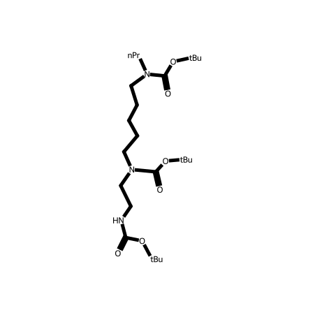 CCCN(CCCCCN(CCNC(=O)OC(C)(C)C)C(=O)OC(C)(C)C)C(=O)OC(C)(C)C